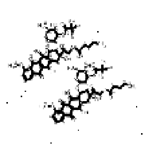 CCCCC(=O)OCC(=O)[C@]1(O)Cc2c(O)c3c(c(O)c2[C@@H](O[C@H]2C[C@H](NC(=O)C(F)(F)F)[C@H](O)[C@H](C)O2)C1)C(=O)c1c(OC)cccc1C3=O.CCCCC(=O)OCC(=O)[C@]1(O)Cc2c(O)c3c(c(O)c2[C@@H](O[C@H]2C[C@H](NC(=O)C(F)(F)F)[C@H](O)[C@H](C)O2)C1)C(=O)c1c(OC)cccc1C3=O